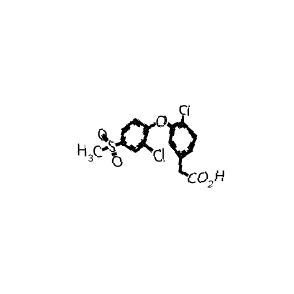 CS(=O)(=O)c1ccc(Oc2cc(CC(=O)O)ccc2Cl)c(Cl)c1